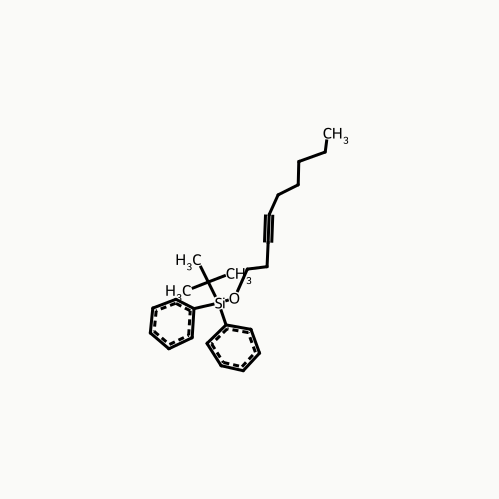 CCCCCC#CCCO[Si](c1ccccc1)(c1ccccc1)C(C)(C)C